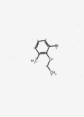 [CH2]c1cccc(Br)c1OCC